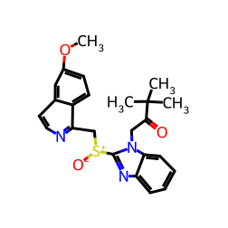 COc1ccc2c(C[S+]([O-])c3nc4ccccc4n3CC(=O)C(C)(C)C)nccc2c1